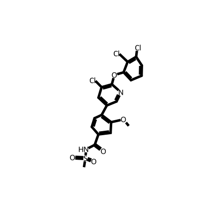 COc1cc(C(=O)NS(C)(=O)=O)ccc1-c1cnc(Oc2cccc(Cl)c2Cl)c(Cl)c1